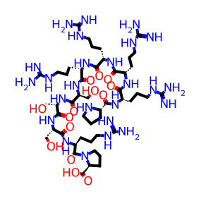 N=C(N)NCCC[C@H](NC(=O)[C@@H]1CCCN1)C(=O)N[C@@H](CCCNC(=N)N)C(=O)N[C@@H](CCCNC(=N)N)C(=O)N[C@@H](CCCNC(=N)N)C(=O)N[C@@H](CO)C(=O)N[C@@H](CO)C(=O)N[C@@H](CO)C(=O)N[C@@H](CCCNC(=N)N)C(=O)N1CCC[C@H]1C(=O)O